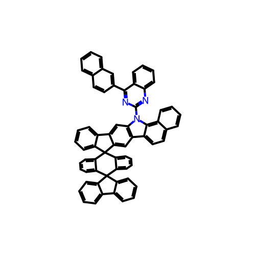 c1ccc2c(c1)-c1ccccc1C21c2ccccc2C2(c3ccccc3-c3cc4c(cc32)c2ccc3ccccc3c2n4-c2nc(-c3ccc4ccccc4c3)c3ccccc3n2)c2ccccc21